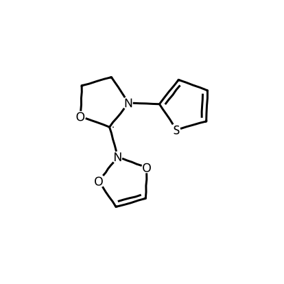 C1=CON([C]2OCCN2c2cccs2)O1